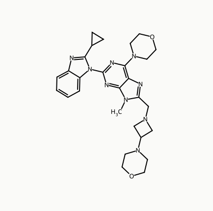 Cn1c(CN2CC(N3CCOCC3)C2)nc2c(N3CCOCC3)nc(-n3c(C4CC4)nc4ccccc43)nc21